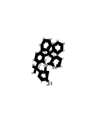 CCc1ccc2c(c1)N1c3ncccc3C(c3ccccc3)(c3ccccc3)c3cccc(c31)C2(C)C